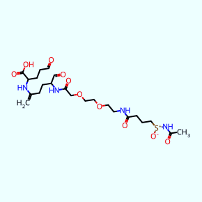 C=C(CCC(C=O)NC(=O)COCCOCCNC(=O)CCC[S+]([O-])NC(C)=O)NC(CCC=O)C(=O)O